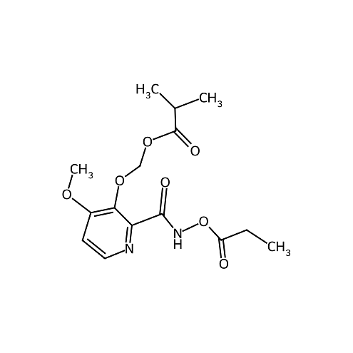 CCC(=O)ONC(=O)c1nccc(OC)c1OCOC(=O)C(C)C